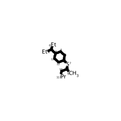 CCC(CC)C1CCC(SC(C)CC(C)C)CC1